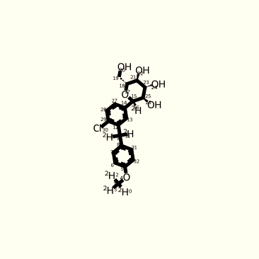 [2H]C([2H])([2H])Oc1ccc(C([2H])([2H])c2cc([C@]3([2H])O[C@H](CO)[C@@H](O)[C@H](O)[C@H]3O)ccc2Cl)cc1